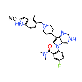 Cc1c(CN2CCC(c3cn(-c4ccc(F)cc4C(=O)N(C)C)c4c3=NCNC=4)CC2)ccc2[nH]c(C#N)cc12